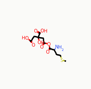 CSCC[C@H](N)C(=O)OC(=O)CC(O)(CC(=O)O)C(=O)O